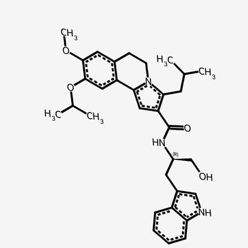 COc1cc2c(cc1OC(C)C)-c1cc(C(=O)N[C@@H](CO)Cc3c[nH]c4ccccc34)c(CC(C)C)n1CC2